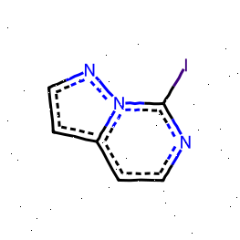 Ic1nccc2ccnn12